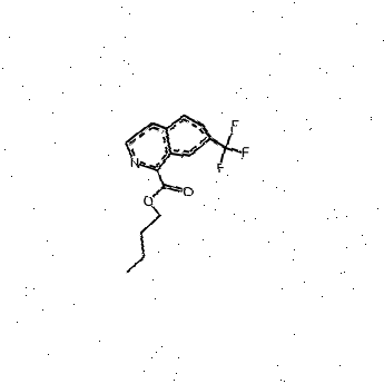 CCCCOC(=O)c1nccc2ccc(C(F)(F)F)cc12